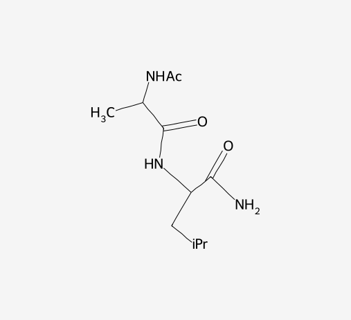 CC(=O)NC(C)C(=O)NC(CC(C)C)C(N)=O